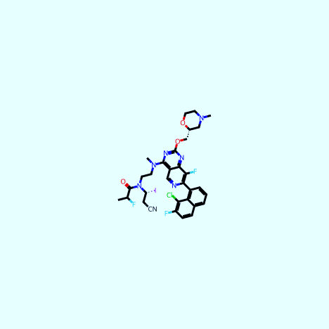 CC(F)C(=O)N(CCN(C)c1nc(OC[C@H]2CN(C)CCO2)nc2c(F)c(-c3cccc4ccc(F)c(Cl)c34)ncc12)[C@H](I)CC#N